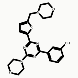 Oc1cccc(-c2nc(-c3ccc(CN4CCOCC4)s3)nc(N3CCOCC3)n2)c1